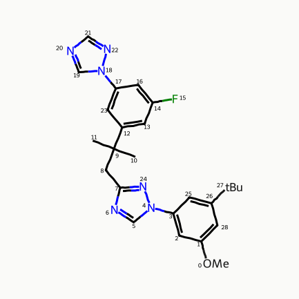 COc1cc(-n2cnc(CC(C)(C)c3cc(F)cc(-n4cncn4)c3)n2)cc(C(C)(C)C)c1